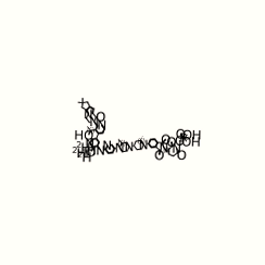 [2H]C([2H])([2H])Oc1ncc(-c2ccnc(N3CCn4c(cc5c4CC(C)(C)C5)C3=O)c2[C@H](C)O)cc1Nc1ccc(N2CCN(C3CCN(c4ccc5c(c4)C(=O)N([C@H]4CCC(=O)N(COP(=O)(O)O)C4=O)C5=O)[C@@H](C)C3)C[C@@H]2C)cn1